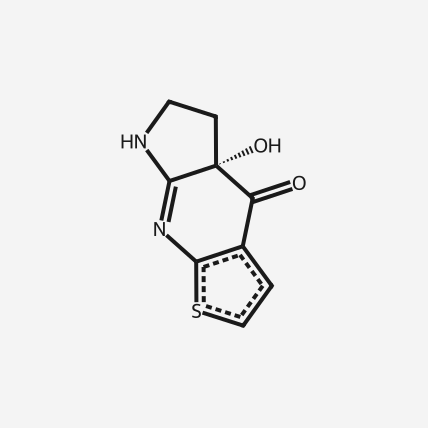 O=C1c2ccsc2N=C2NCC[C@@]12O